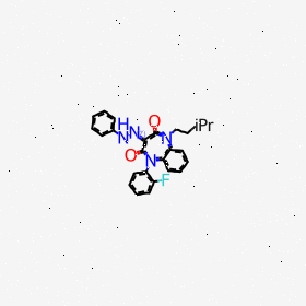 CC(C)CCn1c(=O)/c(=N/Nc2ccccc2)c(=O)n(-c2ccccc2F)c2ccccc21